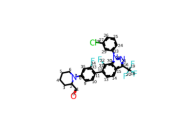 O=CC1CCCCN1c1ccc(-c2ccc3c(C(F)(F)F)nn(-c4cccc(Cl)c4)c3c2F)c(F)c1